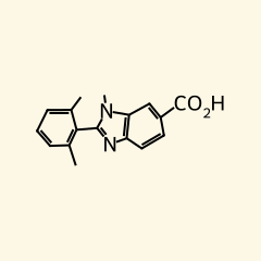 Cc1cccc(C)c1-c1nc2ccc(C(=O)O)cc2n1C